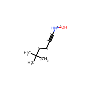 CC(C)(C)CCC#CNO